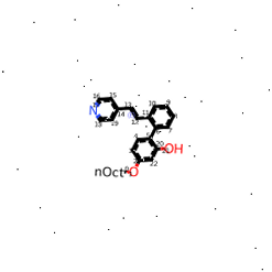 CCCCCCCCOc1ccc(-c2ccccc2/C=C/c2ccncc2)c(O)c1